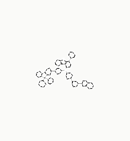 c1ccc(-c2ccc(N(c3ccc(-c4cccc(-c5ccc6ccccc6c5)c4)cc3)c3ccc(-c4ccc5c(c4)C(c4ccccc4)(c4ccccc4)c4ccccc4-5)cc3)c3c2sc2ccccc23)cc1